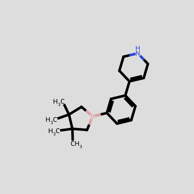 CC1(C)CB(c2cccc(C3=CCNCC3)c2)CC1(C)C